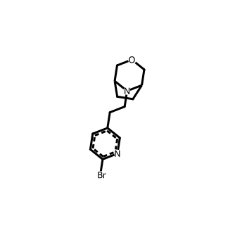 Brc1ccc(CCN2C3CCC2COC3)cn1